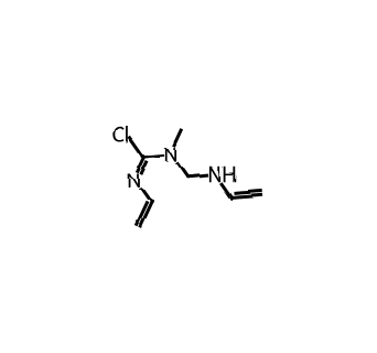 C=C/N=C(/Cl)N(C)CNC=C